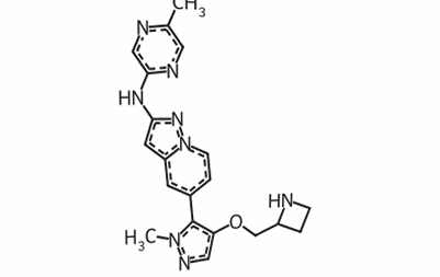 Cc1cnc(Nc2cc3cc(-c4c(OCC5CCN5)cnn4C)ccn3n2)cn1